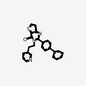 O=c1c2sccc2nc(-c2ccc(-c3ccccc3)cc2)n1CCc1cccnc1